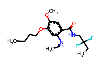 C/C=N\c1cc(OCCCC)c(OC)cc1C(=O)NCC(F)(F)CC